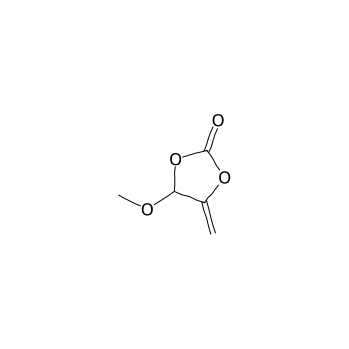 C=C1OC(=O)OC1OC